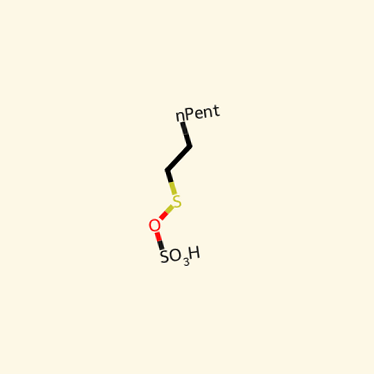 CCCCCCCSOS(=O)(=O)O